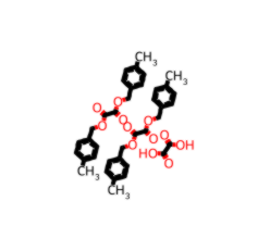 Cc1ccc(COC(=O)C(=O)OCc2ccc(C)cc2)cc1.Cc1ccc(COC(=O)C(=O)OCc2ccc(C)cc2)cc1.O=C(O)C(=O)O